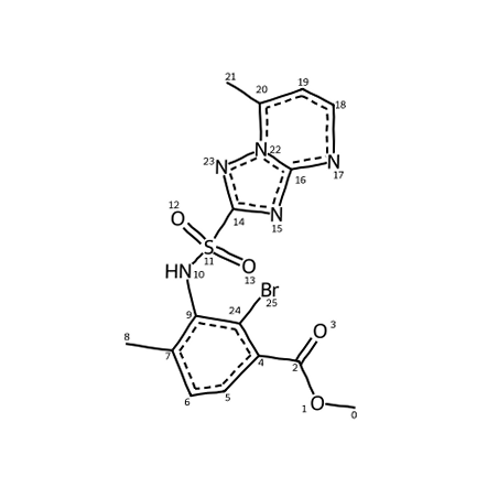 COC(=O)c1ccc(C)c(NS(=O)(=O)c2nc3nccc(C)n3n2)c1Br